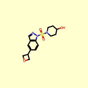 O=S(=O)(N1CCC(O)CC1)n1ncc2cc(C3COC3)ccc21